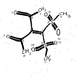 CC(=O)C(C(C)=O)=C(S(C)(=O)=O)S(C)(=O)=O